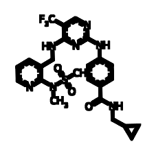 CN(c1ncccc1CNc1nc(Nc2ccc(C(=O)NCC3CC3)cc2)ncc1C(F)(F)F)S(C)(=O)=O